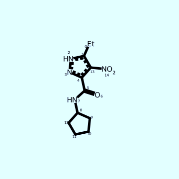 CCc1[nH]nc(C(=O)NC2CCCC2)c1[N+](=O)[O-]